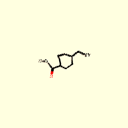 COC(=O)C1CCC(CC(C)C)CC1